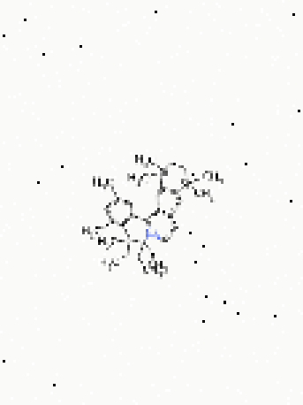 C=CC1(CC)[n+]2ccc3cc4c(cc3c2-c2cc(C)cc(C)c2C1(C)CC)[Si](C)(C)CC[Si]4(C)C